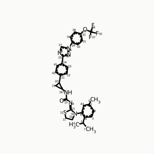 Cc1ccc(C(C)C)c(N2CCS/C2=N\C(=O)NC2CC2c2ccc(-c3ncn(-c4ccc(OC(F)(F)F)cc4)n3)cc2)c1